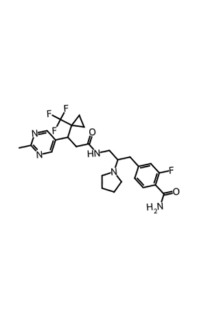 Cc1ncc(C(CC(=O)NCC(Cc2ccc(C(N)=O)c(F)c2)N2CCCC2)C2(C(F)(F)F)CC2)cn1